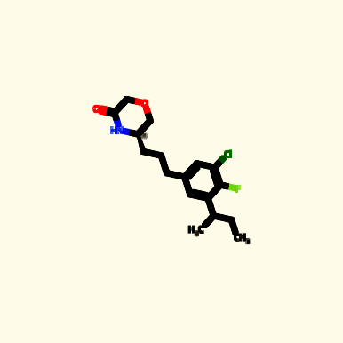 CCC(C)c1cc(CCC[C@@H]2COCC(=O)N2)cc(Cl)c1F